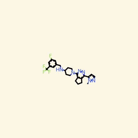 Cn1nccc1-c1nnc(N2CCC(NCc3cc(F)cc(C(F)(F)F)c3)CC2)c2c1CCC2